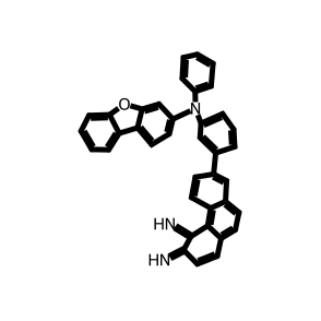 N=C1C=Cc2ccc3cc(-c4cccc(N(c5ccccc5)c5ccc6c(c5)oc5ccccc56)c4)ccc3c2C1=N